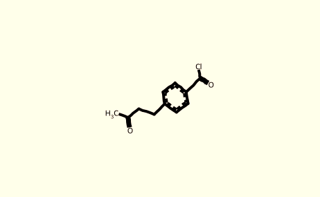 CC(=O)CCc1ccc(C(=O)Cl)cc1